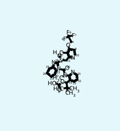 Cc1c(OCC(F)(F)F)ccnc1C[S+]([O-])c1nc2ccccc2n1C(=O)N(C)c1ncccc1C(OC(=O)O)C(C)(C)C